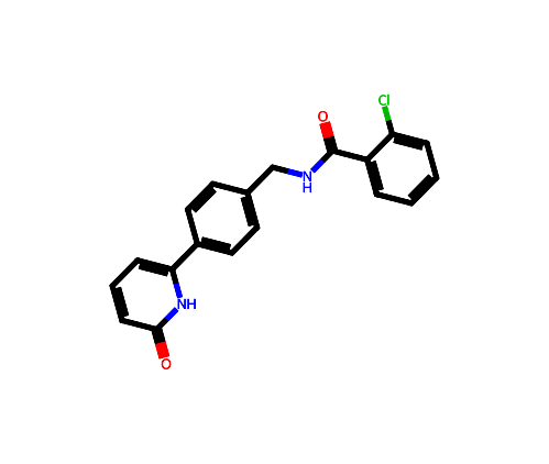 O=C(NCc1ccc(-c2cccc(=O)[nH]2)cc1)c1ccccc1Cl